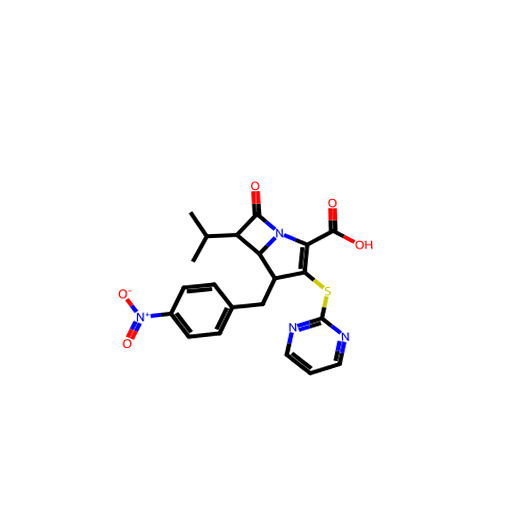 CC(C)C1C(=O)N2C(C(=O)O)=C(Sc3ncccn3)C(Cc3ccc([N+](=O)[O-])cc3)C12